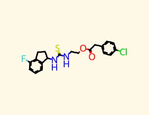 O=C(Cc1ccc(Cl)cc1)OCCNC(=S)NC1CCc2c(F)cccc21